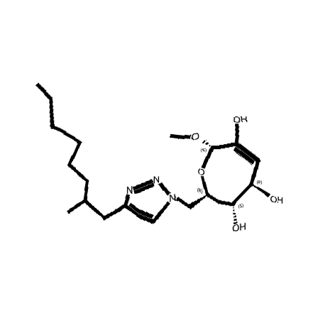 CCCCCCC(C)Cc1cn(C[C@H]2O[C@H](OC)C(O)=C[C@@H](O)[C@@H]2O)nn1